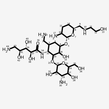 NCC1CC(O[C@H]2O[C@H](CNCCO)CCC2N)C(O)C(O[C@H]2OC(CO)C(O)[C@H](N)C2O)[C@@H]1NC(=O)[C@@H](O)[C@@H](O)[C@@H](O)CN